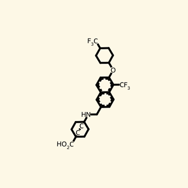 O=C(O)C12CCC(NCc3ccc4c(C(F)(F)F)c(OC5CCC(C(F)(F)F)CC5)ccc4c3)(CC1)CC2